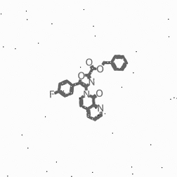 O=C(OCc1ccccc1)c1nc(-n2ccc3cccnc3c2=O)c(-c2ccc(F)cc2)o1